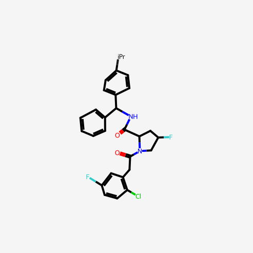 CC(C)c1ccc(C(NC(=O)C2CC(F)CN2C(=O)Cc2cc(F)ccc2Cl)c2ccccc2)cc1